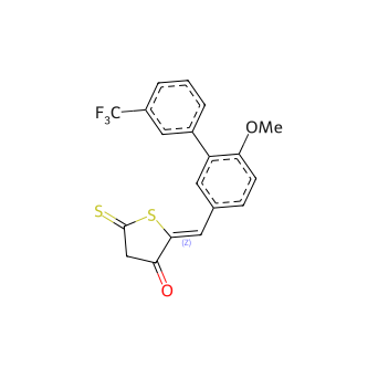 COc1ccc(/C=C2\SC(=S)CC2=O)cc1-c1cccc(C(F)(F)F)c1